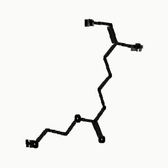 CCC=C(CCC)CCCCC(=O)OCCO